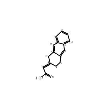 O=C(O)/C=C1\CCc2cc3ccccc3cc2C1